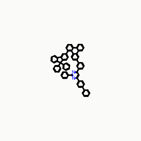 c1ccc(-c2ccc(-c3cc(-c4cccc(-c5ccc6c(c5)c5ccccc5c5cccc(-c7ccc8c(c7)-c7ccccc7C8(c7ccccc7)c7ccccc7)c56)c4)nc(-c4ccccc4)n3)cc2)cc1